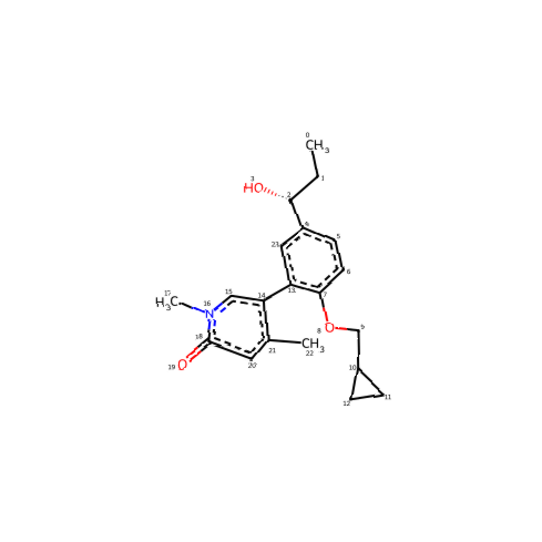 CC[C@@H](O)c1ccc(OCC2CC2)c(-c2cn(C)c(=O)cc2C)c1